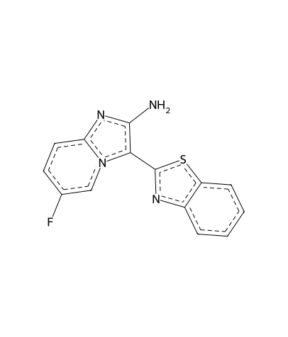 Nc1nc2ccc(F)cn2c1-c1nc2ccccc2s1